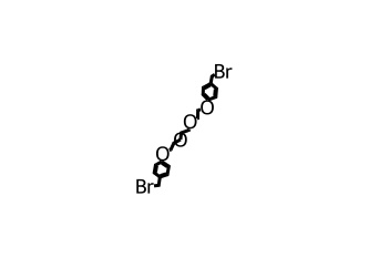 BrCc1ccc(OCCOCCOCCOc2ccc(CBr)cc2)cc1